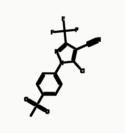 CS(=O)(=O)c1ccc(-n2nc(C(F)(F)F)c(C#N)c2Cl)cc1